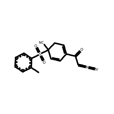 Cc1ccccc1S(=O)(=O)C1(C#N)C=CC(C(=O)C=[N+]=[N-])=CC1